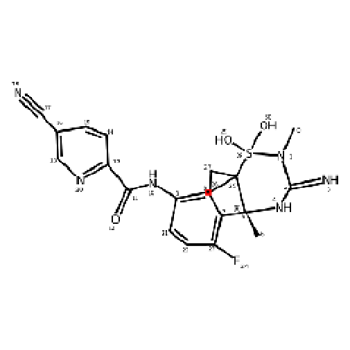 CN1C(=N)N[C@](C)(c2cc(NC(=O)c3ccc(C#N)cn3)ccc2F)C2(CC2)S1(O)O